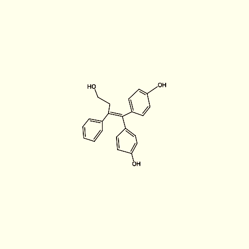 OCCC(=C(c1ccc(O)cc1)c1ccc(O)cc1)c1ccccc1